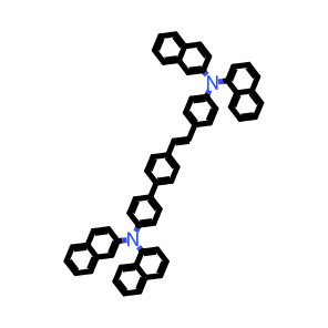 C(=C\c1ccc(N(c2ccc3ccccc3c2)c2cccc3ccccc23)cc1)/c1ccc(-c2ccc(N(c3ccc4ccccc4c3)c3cccc4ccccc34)cc2)cc1